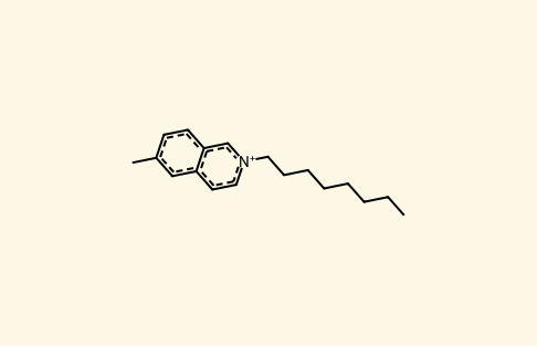 CCCCCCCC[n+]1ccc2cc(C)ccc2c1